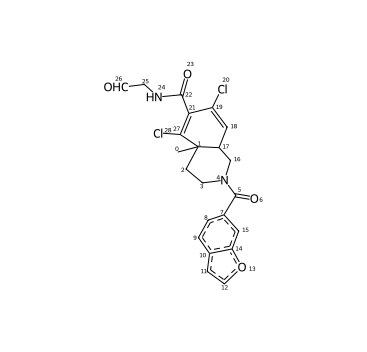 CC12CCN(C(=O)c3ccc4ccoc4c3)CC1C=C(Cl)C(C(=O)NCC=O)=C2Cl